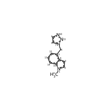 Cn1ccc2c(Cn3ccnn3)cccc21